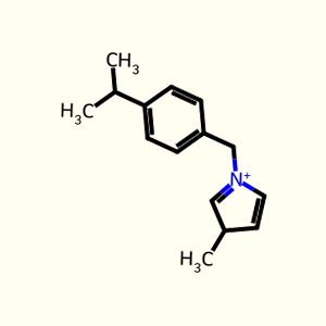 CC1C=C[N+](Cc2ccc(C(C)C)cc2)=C1